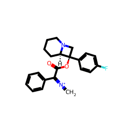 C=[N+]=C(C(=O)O[C@]1(c2ccc(F)cc2)CN2CCCC[C@@H]21)c1ccccc1